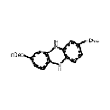 CCCCCCCCCCc1ccc2c(c1)Nc1cc(CCCCCCCCCC)ccc1N2